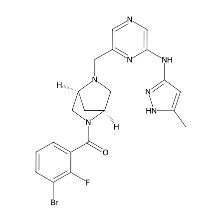 Cc1cc(Nc2cncc(CN3C[C@@H]4C[C@H]3CN4C(=O)c3cccc(Br)c3F)n2)n[nH]1